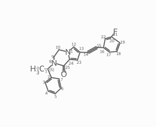 C[C@@H](c1ccccc1)N1CCn2cc(C#Cc3cccc(F)c3)cc2C1=O